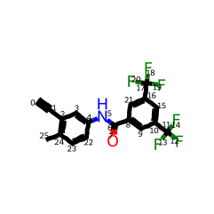 C#Cc1cc(NC(=O)c2cc(C(F)(F)F)cc(C(F)(F)F)c2)ccc1C